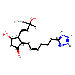 CCCCCC(C)(O)C=CC1C(O)CC(=O)C1C/C=C\CCCc1nnn[nH]1